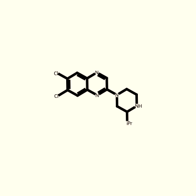 CC(C)C1CN(c2cnc3cc(Cl)c(Cl)cc3n2)CCN1